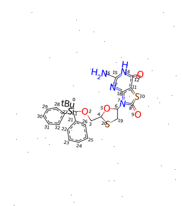 CC(C)(C)[Si](OCC1OC(n2c(=O)sc3c(=O)[nH]c(N)nc32)CS1)(c1ccccc1)c1ccccc1